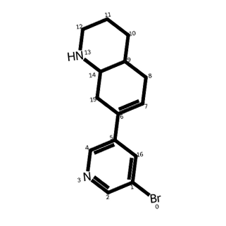 Brc1cncc(C2=CCC3CCCNC3C2)c1